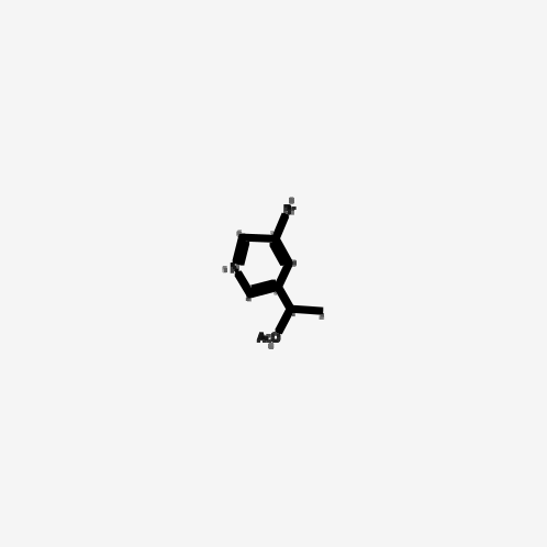 CC(=O)OC(C)c1cncc(Br)c1